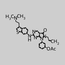 C=CCn1c(=O)c2cnc(Nc3ccc4c(CCN(C)C)csc4c3)nc2n1-c1cccc(OC(C)=O)c1